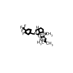 CC(C)C[C@@H](C(N)=O)N(C)[C@@H]1CC[C@H]2CN(Cc3ccc(C(F)(F)F)c(F)c3)C[C@H]21